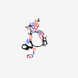 C=C[C@@H]1C[C@]1(NC(=O)[C@@H]1C[C@@H]2CN1C(=O)[C@H](C(C)(C)C)NC(=O)O[C@@H]1CCC[C@H]1CCC=CCc1c(nc3ccccc3c1OCCN1CCOCC1)O2)C(=O)NS(=O)(=O)C1CC1